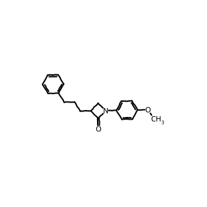 COc1ccc(N2CC(CCCc3ccccc3)C2=O)cc1